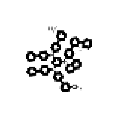 Cc1cccc(-c2ccc(N(c3ccc(-c4ccccc4)cc3)c3cc(N(c4ccc(-c5ccccc5)cc4)c4ccc(-c5cccc(C)c5)cc4)cc(N(c4ccc(-c5cccc6c5oc5ccccc56)cc4)c4cccc5ccccc45)c3)cc2)c1